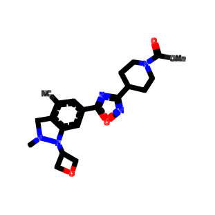 COC(=O)N1CCC(c2noc(-c3cc(C#N)c4c(c3)N(C3COC3)N(C)C4)n2)CC1